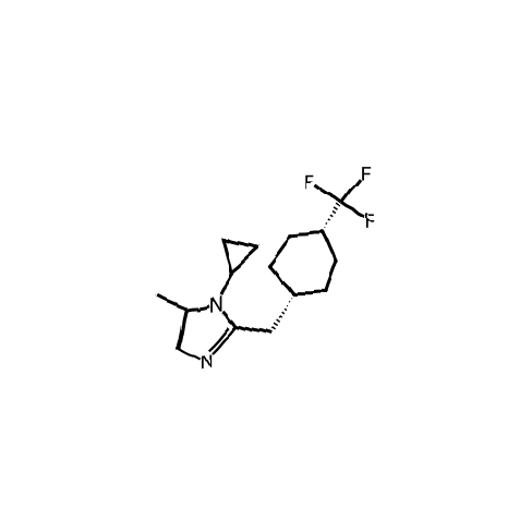 CC1CN=C(C[C@H]2CC[C@@H](C(F)(F)F)CC2)N1C1CC1